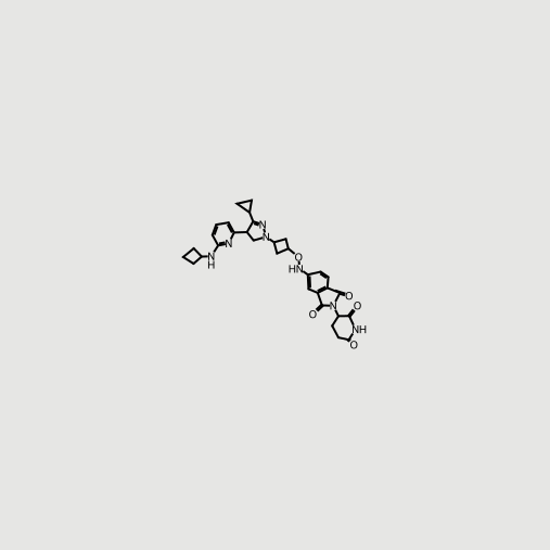 O=C1CCC(N2C(=O)c3ccc(NOC4CC(N5CC(c6cccc(NC7CCC7)n6)C(C6CC6)=N5)C4)cc3C2=O)C(=O)N1